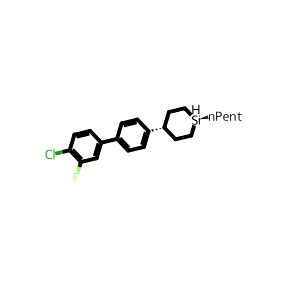 CCCCC[Si@H]1CC[C@H](c2ccc(-c3ccc(Cl)c(F)c3)cc2)CC1